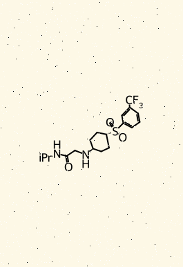 CC(C)NC(=O)CN[C@H]1CC[C@H](S(=O)(=O)c2cccc(C(F)(F)F)c2)CC1